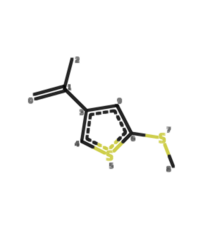 C=C(C)c1csc(SC)c1